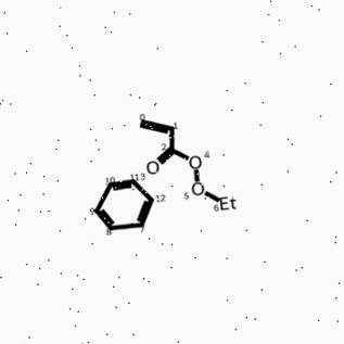 C=CC(=O)OOCC.c1ccccc1